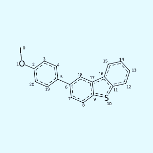 IOc1ccc(-c2ccc3sc4ccccc4c3c2)cc1